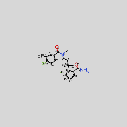 CCc1cc(C(=O)N(C)CCC(C)(C)c2c(F)cccc2C(N)=O)ccc1F